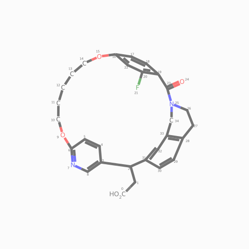 O=C(O)CC1c2ccc(nc2)OCCCCCOc2ccc(c(F)c2)C(=O)N2CCc3ccc1cc3C2